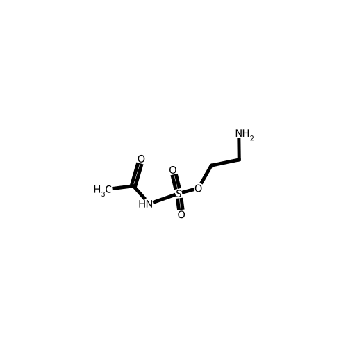 CC(=O)NS(=O)(=O)OCCN